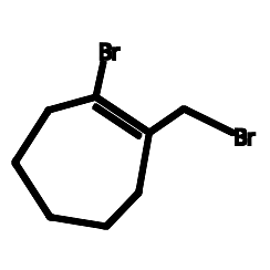 BrCC1=C(Br)CCCCC1